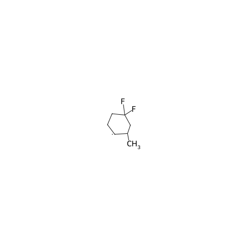 CC1[CH]CCC(F)(F)C1